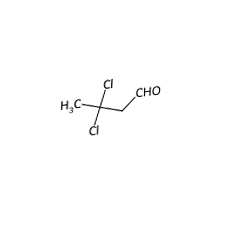 CC(Cl)(Cl)CC=O